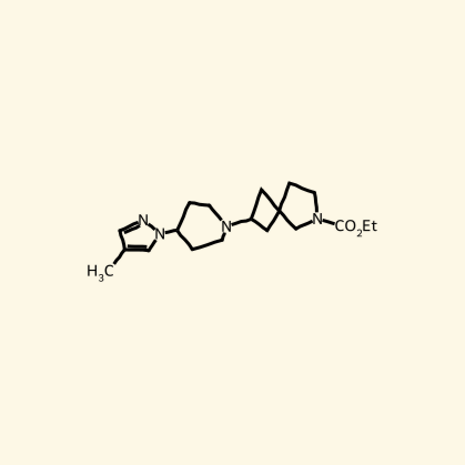 CCOC(=O)N1CCC2(CC(N3CCC(n4cc(C)cn4)CC3)C2)C1